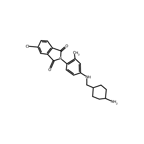 Cc1cc(NCC2CCC(N)CC2)ccc1N1C(=O)c2ccc(Cl)cc2C1=O